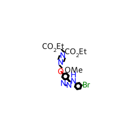 CCOC(=O)CC(C(=O)OCC)N1CCN(CCOc2cc3ncnc(Nc4cccc(Br)c4)c3cc2OC)CC1